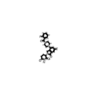 O=C1CCC(N2Cc3c(cc(F)cc3N3CCN(C(=O)c4ccccc4F)CC3)C2=O)C(=O)N1